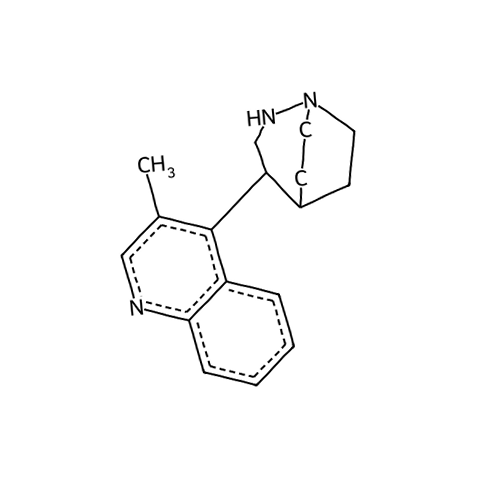 Cc1cnc2ccccc2c1C1CNN2CCC1CC2